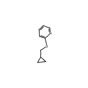 [c]1ccnc(OCC2CC2)c1